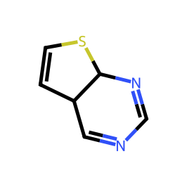 C1=CC2C=NC=NC2S1